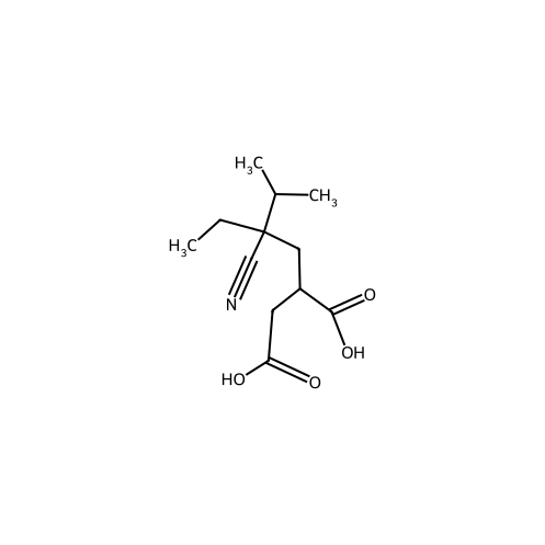 CCC(C#N)(CC(CC(=O)O)C(=O)O)C(C)C